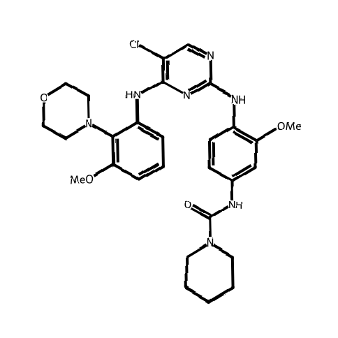 COc1cc(NC(=O)N2CCCCC2)ccc1Nc1ncc(Cl)c(Nc2cccc(OC)c2N2CCOCC2)n1